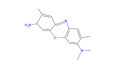 CC1=CC2=Nc3cc(C)c(N(C)C)cc3OC2=CC1N